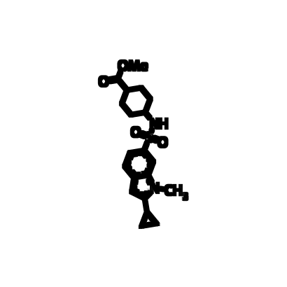 COC(=O)C1CCC(NS(=O)(=O)c2ccc3cc(C4CC4)n(C)c3c2)CC1